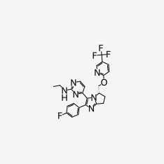 CCNc1nccc(-c2c(-c3ccc(F)cc3)nc3n2[C@H](COc2ccc(C(F)(F)F)cn2)CC3)n1